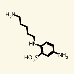 NCCCCCNc1ccc(N)cc1S(=O)(=O)O